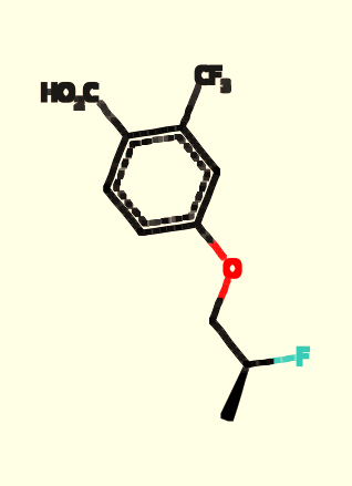 C[C@H](F)COc1ccc(C(=O)O)c(C(F)(F)F)c1